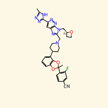 Cc1nnc(-c2cc3nc(CN4CCC(c5cccc6c5OC(C)(c5ccc(C#N)cc5F)O6)CC4)n(C[C@@H]4CCO4)c3nn2)[nH]1